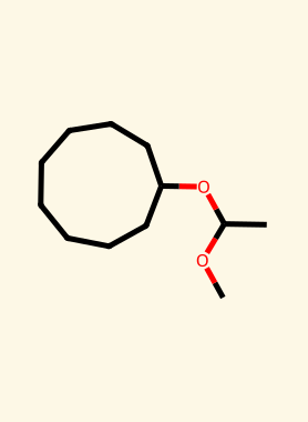 COC(C)OC1CCCCCCCC1